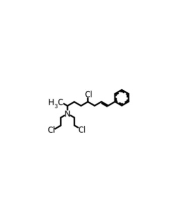 CC(CCC(Cl)CC=Cc1ccccc1)N(CCCl)CCCl